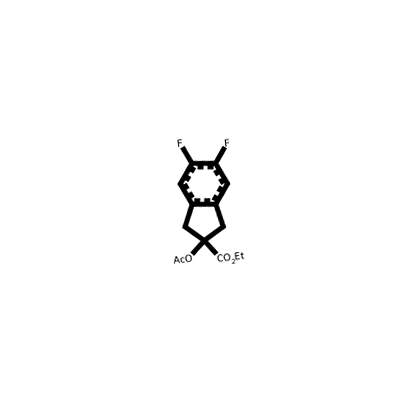 CCOC(=O)C1(OC(C)=O)Cc2cc(F)c(F)cc2C1